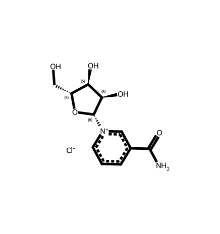 NC(=O)c1ccc[n+]([C@@H]2O[C@H](CO)[C@@H](O)[C@H]2O)c1.[Cl-]